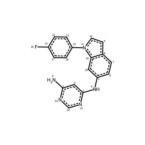 Nc1cc(Nc2ccc3ccn(-c4ccc(F)cc4)c3c2)ncn1